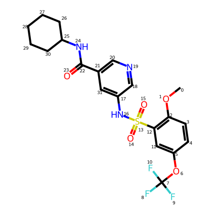 COc1ccc(OC(F)(F)F)cc1S(=O)(=O)Nc1cncc(C(=O)NC2CCCCC2)c1